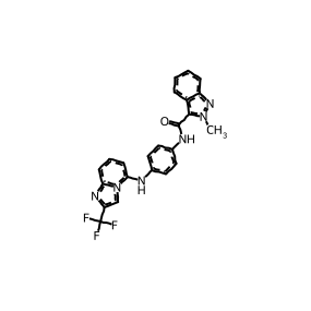 Cn1nc2ccccc2c1C(=O)Nc1ccc(Nc2cccc3nc(C(F)(F)F)cn23)cc1